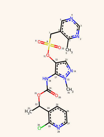 Cc1ncncc1CS(=O)(=O)Oc1cnn(C)c1NC(=O)OC(C)c1cccnc1Cl